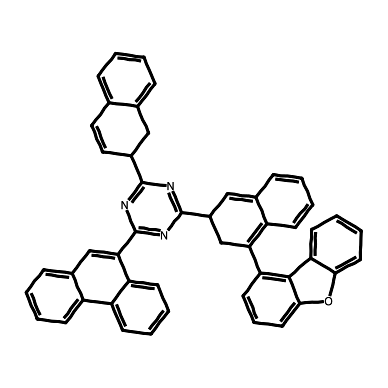 C1=CC(c2nc(-c3cc4ccccc4c4ccccc34)nc(C3C=c4ccccc4=C(c4cccc5oc6ccccc6c45)C3)n2)Cc2ccccc21